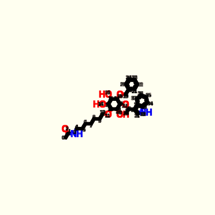 CC(=O)NCCCCCCCOC1C(O)C(O)C(OCc2ccccc2)C(OC(C)c2c[nH]c3ccccc23)C1O